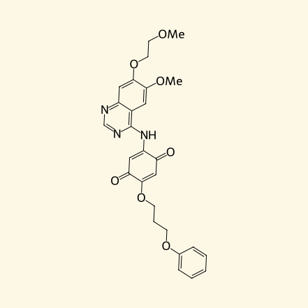 COCCOc1cc2ncnc(NC3=CC(=O)C(OCCCOc4ccccc4)=CC3=O)c2cc1OC